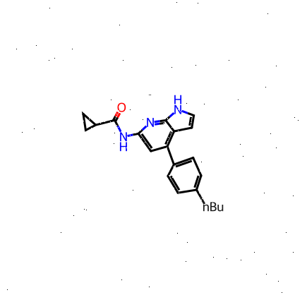 CCCCc1ccc(-c2cc(NC(=O)C3CC3)nc3[nH]ccc23)cc1